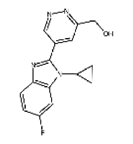 OCc1cc(-c2nc3ccc(F)cc3n2C2CC2)cnn1